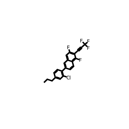 CCCc1ccc(-c2ccc3c(F)c(C#CC(F)(F)F)c(F)cc3c2)c(Cl)c1